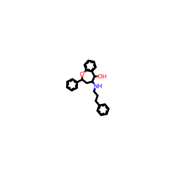 OC1c2ccccc2OC(c2ccccc2)CC1NCCCc1ccccc1